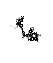 Cn1c(=O)n(C2CCC(=O)NC2=O)c2ccc(C#CC3CN(C(=O)C4CC(NC(=O)[C@@H]5NC6(CCCCC6)c6ccc(Cl)cc6NCOC[C@H]5c5cccc(Cl)c5F)C4)C3)cc21